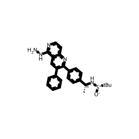 C[C@@H](N[S+]([O-])C(C)(C)C)c1ccc(-c2nc3ccnc(NN)c3cc2-c2ccccc2)cc1